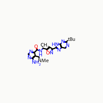 CNCc1c(N)ncnc1C(=O)N[C@H](C)c1cc(-c2nc3cnc(C(C)(C)C)nc3[nH]2)no1